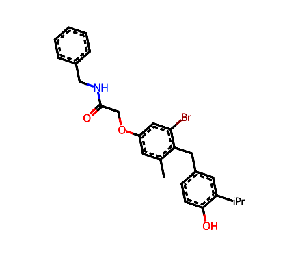 Cc1cc(OCC(=O)NCc2ccccc2)cc(Br)c1Cc1ccc(O)c(C(C)C)c1